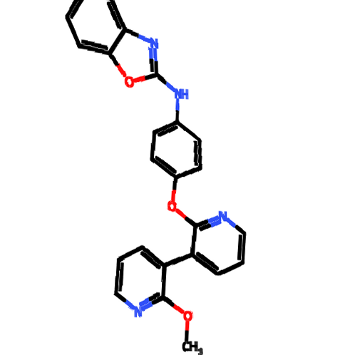 COc1ncccc1-c1cccnc1Oc1ccc(Nc2nc3ccccc3o2)cc1